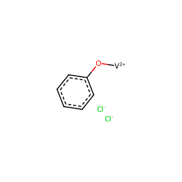 [Cl-].[Cl-].[V+2][O]c1ccccc1